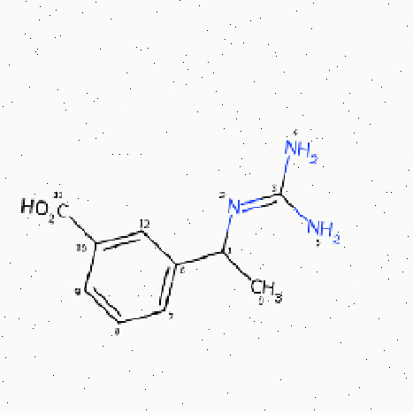 CC(N=C(N)N)c1cccc(C(=O)O)c1